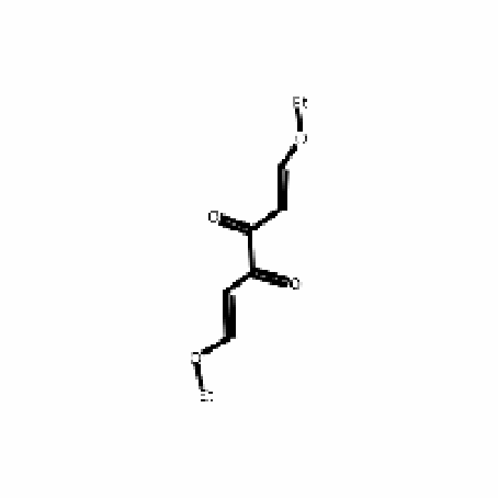 CCOC=CC(=O)C(=O)C=COCC